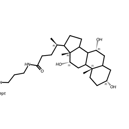 CCCCCCCN(C)CCCNC(=O)CC[C@@H](C)C1CCC2C3C(C[C@H](O)[C@@]21C)[C@@]1(C)CC[C@@H](O)CC1C[C@H]3O